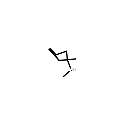 C=C1CC(C)(NC)C1